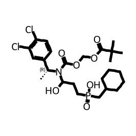 C[C@H](c1ccc(Cl)c(Cl)c1)N(C(=O)OCOC(=O)C(C)(C)C)C(O)CCP(=O)(O)CC1CCCCC1